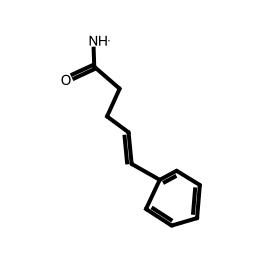 [NH]C(=O)CCC=Cc1ccccc1